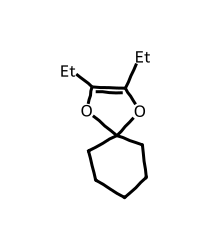 CCC1=C(CC)OC2(CCCCC2)O1